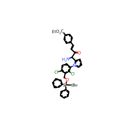 CCOC(=O)c1ccc(/C=C/C(=O)C(N)c2cccn2-c2ccc(Cl)c(CO[Si](c3ccccc3)(c3ccccc3)C(C)(C)C)c2Cl)cc1